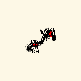 CCCCCCc1cc2c(cc1OC(=O)OCc1ccc(OCC3=C(C(=O)O)N4C(=O)[C@@H](NC(=O)[C@H]5/C(=C/CO)O[C@@H]6CC(=O)N65)C4SC3)cc1)Oc1cc(N3CCc4ccccc43)ccc1C21OC(=O)c2c(Cl)c(Cl)c(Cl)c(Cl)c21